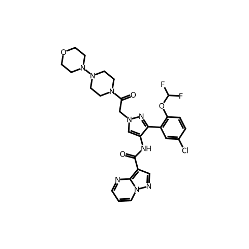 O=C(Nc1cn(CC(=O)N2CCN(N3CCOCC3)CC2)nc1-c1cc(Cl)ccc1OC(F)F)c1cnn2cccnc12